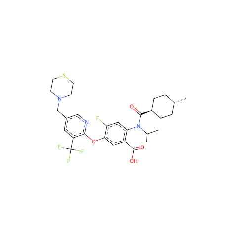 CC(C)N(c1cc(F)c(Oc2ncc(CN3CCSCC3)cc2C(F)(F)F)cc1C(=O)O)C(=O)[C@H]1CC[C@H](C)CC1